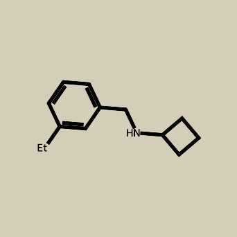 CCc1cccc(CNC2CCC2)c1